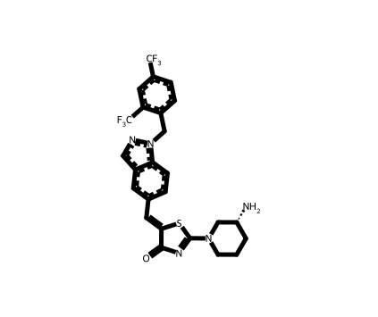 N[C@@H]1CCCN(C2=NC(=O)/C(=C/c3ccc4c(cnn4Cc4ccc(C(F)(F)F)cc4C(F)(F)F)c3)S2)C1